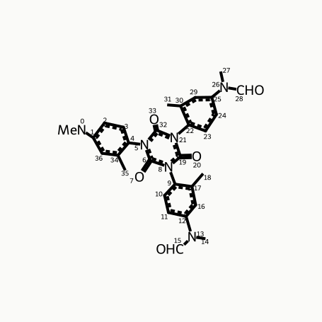 CNc1ccc(-n2c(=O)n(-c3ccc(N(C)C=O)cc3C)c(=O)n(-c3ccc(N(C)C=O)cc3C)c2=O)c(C)c1